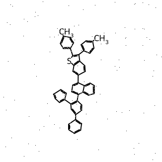 Cc1ccc(-c2sc3cc(-c4ccc(-c5ccc(-c6ccccc6)cc5-c5ccccc5)c5ccccc45)ccc3c2-c2ccc(C)cc2)cc1